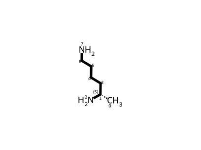 C[C@H](N)CCCCN